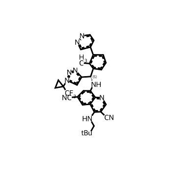 Cc1c(-c2ccnnc2)cccc1[C@H](Nc1cc(C#N)cc2c(NCC(C)(C)C)c(C#N)cnc12)c1cn(C2(C(F)(F)F)CC2)nn1